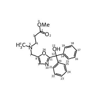 COC(=O)CCN(C)Cc1cnc(C(O)(c2ccccc2)c2ccccc2)o1